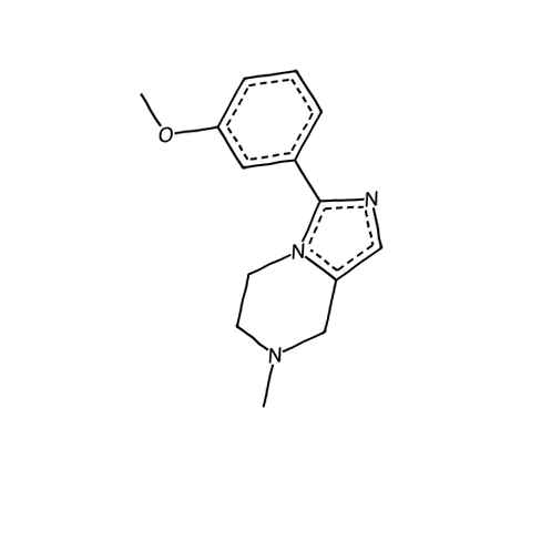 COc1cccc(-c2ncc3n2CCN(C)C3)c1